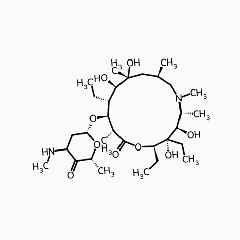 CC[C@H]1[C@H](O[C@H]2CC(NC)C(=O)[C@@H](C)O2)[C@@H](C)C(=O)O[C@H](CC)[C@](O)(CC)[C@H](O)[C@@H](C)N(C)C[C@H](C)C[C@@](C)(O)[C@@H]1O